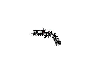 C=CCN1C(=O)N(CC(CC(F)(F)C(F)(F)C(F)(F)C(F)(F)C(F)(F)C(F)(F)C(F)(F)C(F)(F)F)C(C)(C)I)C(=O)[N+]2(CC(CC(F)(F)C(F)(F)C(F)(F)C(F)(F)C(F)(F)C(F)(F)C(F)(F)C(F)(F)F)C2(C)I)C1=O